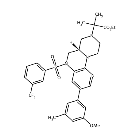 CCOC(=O)C(C)(C)N1CCN2c3ncc(-c4cc(C)cc(OC)c4)cc3N(S(=O)(=O)c3cccc(C(F)(F)F)c3)C[C@@H]2C1